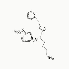 NCCCC[C@H](N)C(=O)OCc1ccccc1.O=S(=O)(O)c1ccccc1